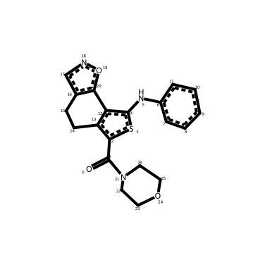 O=C(c1sc(Nc2ccccc2)c2c1CCc1cnoc1-2)N1CCOCC1